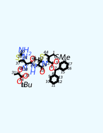 CSCC1=C(C(=O)OC(c2ccccc2)c2ccccc2)N2C(=O)C(NC(=O)C(=NOC(C)C(=O)OC(C)(C)C)c3csc(N)n3)[C@@H]2SC1